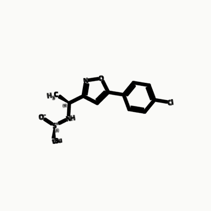 C[C@H](N[S@+]([O-])C(C)(C)C)c1cc(-c2ccc(Cl)cc2)on1